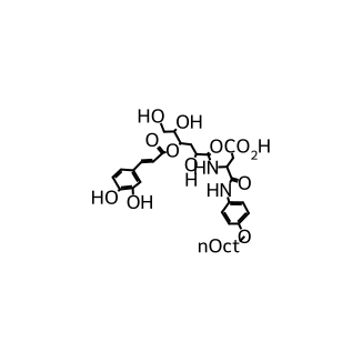 CCCCCCCCOc1ccc(NC(=O)C(CC(=O)O)NC(=O)C(O)CC(OC(=O)/C=C/c2ccc(O)c(O)c2)C(O)CO)cc1